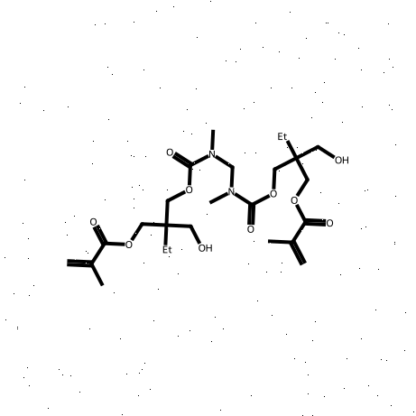 C=C(C)C(=O)OCC(CC)(CO)COC(=O)N(C)CN(C)C(=O)OCC(CC)(CO)COC(=O)C(=C)C